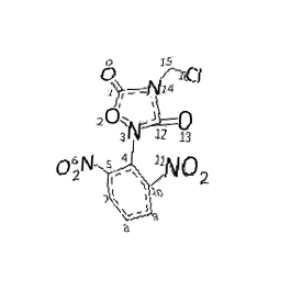 O=c1on(-c2c([N+](=O)[O-])cccc2[N+](=O)[O-])c(=O)n1CCl